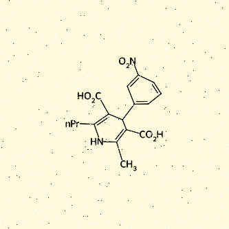 CCCC1=C(C(=O)O)C(c2cccc([N+](=O)[O-])c2)C(C(=O)O)=C(C)N1